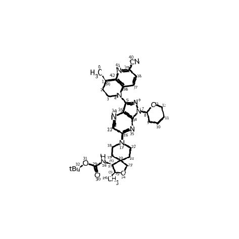 C[C@@H]1CCN(c2nn(C3CCCCO3)c3nc(N4CCC5(CC4)CO[C@@H](C)[C@H]5NC(=O)OC(C)(C)C)cnc23)c2ccc(C#N)nc21